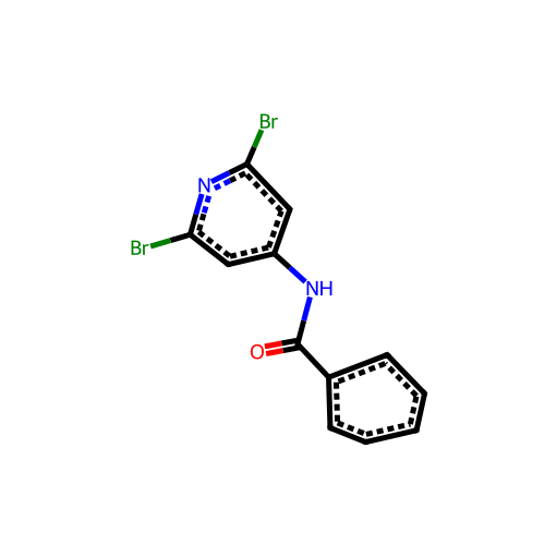 O=C(Nc1cc(Br)nc(Br)c1)c1ccccc1